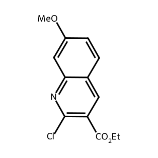 CCOC(=O)c1cc2ccc(OC)cc2nc1Cl